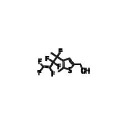 Cc1sc(CO)cc1C(C)(F)C(F)(F)C(F)=C(F)F